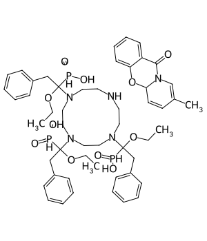 CC1=CN2C(=O)c3ccccc3OC2C=C1.CCOC(Cc1ccccc1)(N1CCNCCN(C(Cc2ccccc2)(OCC)[PH](=O)O)CCN(C(Cc2ccccc2)(OCC)[PH](=O)O)CC1)[PH](=O)O